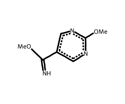 COC(=N)c1cnc(OC)nc1